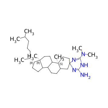 CC(C)CCCC(C)[C@H]1CCC2C3CCC4CC5(CC[C@]4(C)C3CC[C@@]21C)N=C(N)NC(N(C)C)=N5